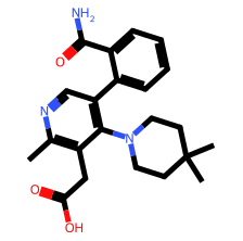 Cc1ncc(-c2ccccc2C(N)=O)c(N2CCC(C)(C)CC2)c1CC(=O)O